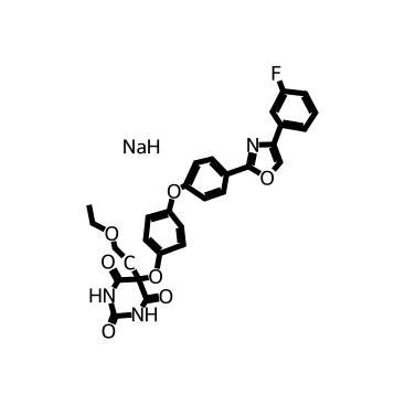 CCOCCC1(Oc2ccc(Oc3ccc(-c4nc(-c5cccc(F)c5)co4)cc3)cc2)C(=O)NC(=O)NC1=O.[NaH]